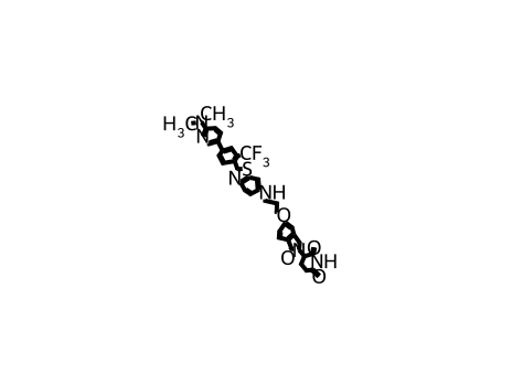 CN(C)c1ccc(-c2ccc(-c3nc4ccc(NCCCOc5ccc6c(c5)CN(C5CCC(=O)NC5=O)C6=O)cc4s3)c(C(F)(F)F)c2)cn1